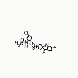 N#CC1(C(F)c2ccc(F)cc2)CCN(C(=O)COc2ccc(Cl)cc2NC(N)=O)CC1